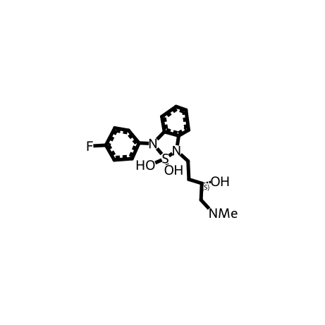 CNC[C@@H](O)CCN1c2ccccc2N(c2ccc(F)cc2)S1(O)O